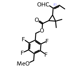 C/C=C(/C=O)C1C(C(=O)OCc2c(F)c(F)c(COC)c(F)c2F)C1(C)C